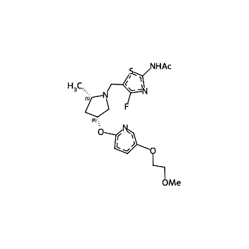 COCCOc1ccc(O[C@@H]2C[C@H](C)N(Cc3sc(NC(C)=O)nc3F)C2)nc1